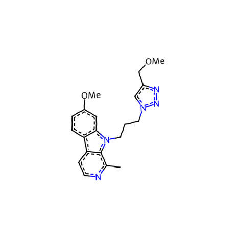 COCc1cn(CCCn2c3cc(OC)ccc3c3ccnc(C)c32)nn1